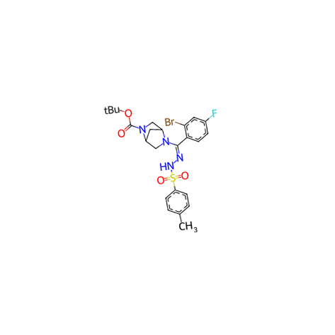 Cc1ccc(S(=O)(=O)N/N=C(/c2ccc(F)cc2Br)N2CC3CC2CN3C(=O)OC(C)(C)C)cc1